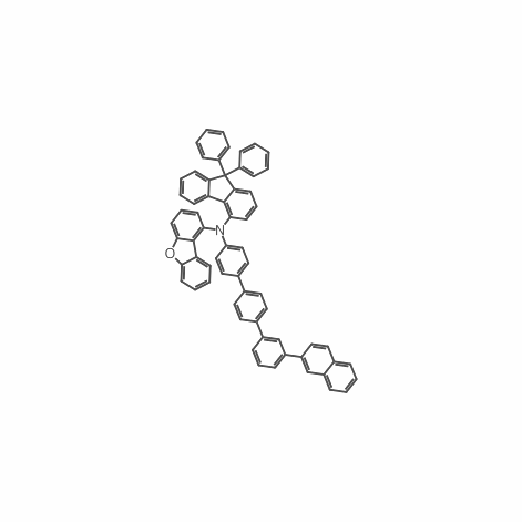 c1ccc(C2(c3ccccc3)c3ccccc3-c3c(N(c4ccc(-c5ccc(-c6cccc(-c7ccc8ccccc8c7)c6)cc5)cc4)c4cccc5oc6ccccc6c45)cccc32)cc1